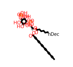 CC#CC#CC#CC#CC#CC#CC(=O)OC[C@H](COP(=O)(O)OC1C(O)[C@@H](O)C(O)[C@@H](OP(=O)(O)O)[C@H]1O)OC(=O)CCCCCCCCCCCCCCC